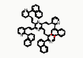 C(=Cc1nc(C=Cc2cccnc2-c2cccc3ccccc23)c(C=Cc2cccnc2-c2cccc3ccccc23)nc1C=Cc1cccnc1-c1cccc2ccccc12)c1cccnc1-c1cccc2ccccc12